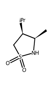 CC(C)[C@@H]1CS(=O)(=O)N[C@@H]1C